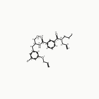 C=CCOc1cc(F)cc(CC(CO)NC(=O)c2cccc(C(=O)N(CC=C)CCC)c2)c1